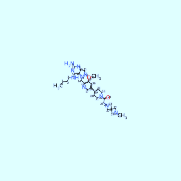 CCCCNc1nc(N)nc2cnn(Cc3ncc(C4CCN(C(=O)CN5CC6(CN(C)C6)C5)CC4)cc3OC)c12